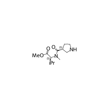 COC(=O)[C@H](C(C)C)N(C)C(=O)[C@H]1CCNC1